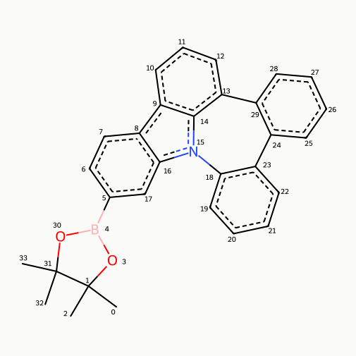 CC1(C)OB(c2ccc3c4cccc5c4n(c3c2)-c2ccccc2-c2ccccc2-5)OC1(C)C